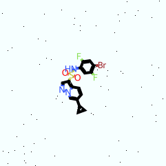 O=S(=O)(Nc1cc(F)c(Br)cc1F)c1cnn2cc(C3CC3)ccc12